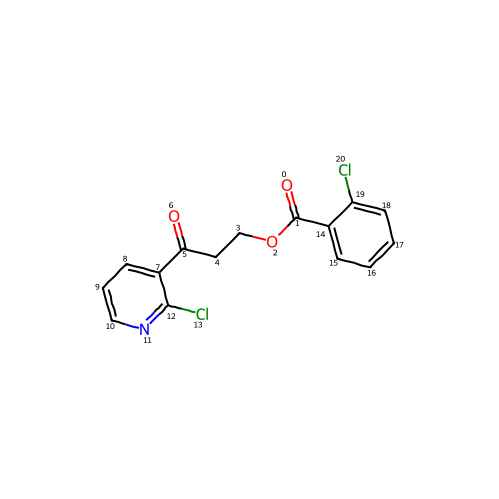 O=C(OCCC(=O)c1cccnc1Cl)c1ccccc1Cl